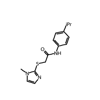 CC(C)c1ccc(NC(=O)CSc2nccn2C)cc1